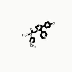 CN1CC[C@H](N(C)C(=O)Cn2cnc(-c3ccc(Cl)cc3)c2-c2ccncc2)C1